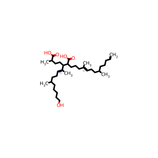 C=CCCCC(C)CC/C=C(\C)CCCC(C(=O)O)C(CCC(C)C(=O)O)/C(C)=C/CCC(C)CCCCCO